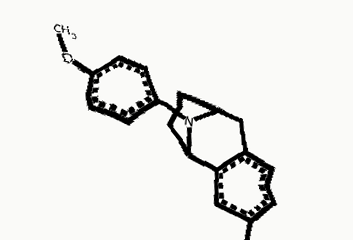 COc1ccc(N2C3CCC2c2cc(F)ccc2C3)cc1